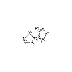 Fc1ccccc1C1CC[N]C1